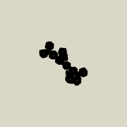 c1ccc(N(c2ccccc2)c2ccc(-c3ccc(-c4ccc(-c5ccc(N(c6ccccc6)c6ccccc6)c6c5sc5ccccc56)cc4)c4sc5ccccc5c34)cc2)cc1